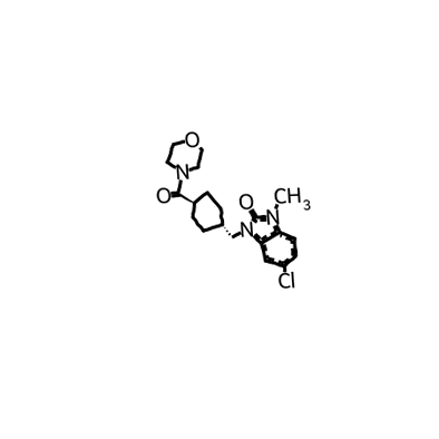 Cn1c(=O)n(C[C@H]2CC[C@H](C(=O)N3CCOCC3)CC2)c2cc(Cl)ccc21